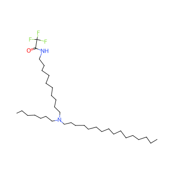 CCCCCCCCCCCCCCCCN(CCCCCCC)CCCCCCCCCCNC(=O)C(F)(F)F